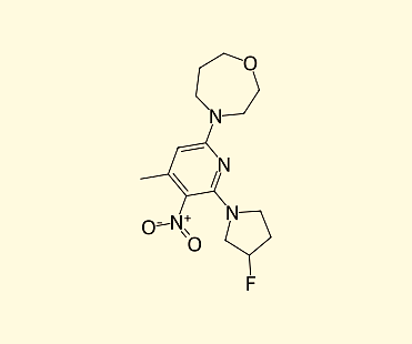 Cc1cc(N2CCCOCC2)nc(N2CCC(F)C2)c1[N+](=O)[O-]